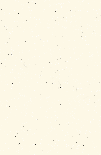 Cc1cc(C(=O)c2ccccc2)c(C)cc1NC(=O)c1ccccc1